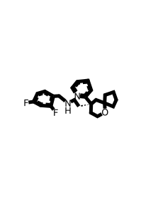 Fc1ccc(CNCC[C@@]2(c3ccccn3)CCOC3(CCCC3)C2)c(F)c1